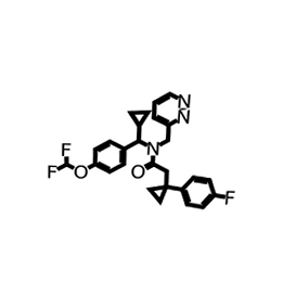 O=C(CC1(c2ccc(F)cc2)CC1)N(Cc1cccnn1)C(c1ccc(OC(F)F)cc1)C1CC1